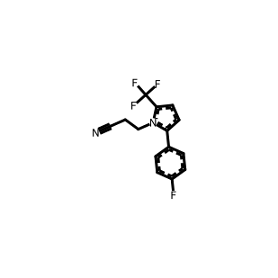 N#CCCn1c(-c2ccc(F)cc2)ccc1C(F)(F)F